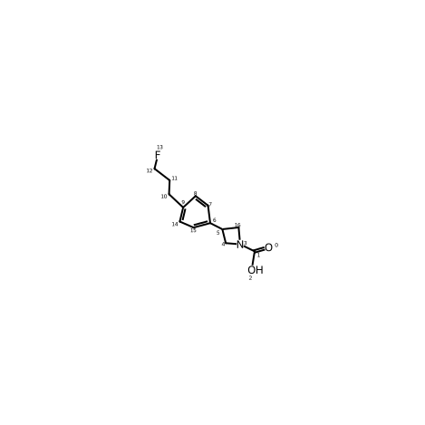 O=C(O)N1CC(c2ccc(CCCF)cc2)C1